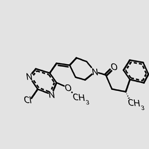 COc1nc(Cl)ncc1C=C1CCN(C(=O)C[C@@H](C)c2ccccc2)CC1